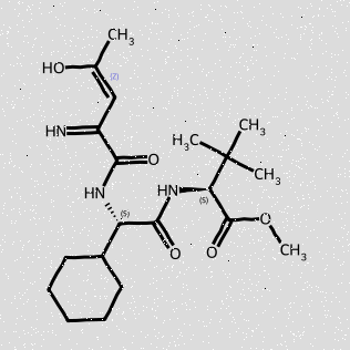 COC(=O)[C@@H](NC(=O)[C@@H](NC(=O)C(=N)/C=C(/C)O)C1CCCCC1)C(C)(C)C